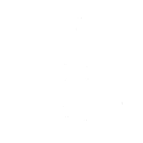 O=C(CC(=O)c1ccccc1)c1ccccc1.O=C(CC(=O)c1ccccc1)c1ccccc1.[F-].[F-].[F-].[F-].[Ti+4]